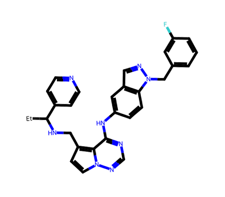 CCC(NCc1ccn2ncnc(Nc3ccc4c(cnn4Cc4cccc(F)c4)c3)c12)c1ccncc1